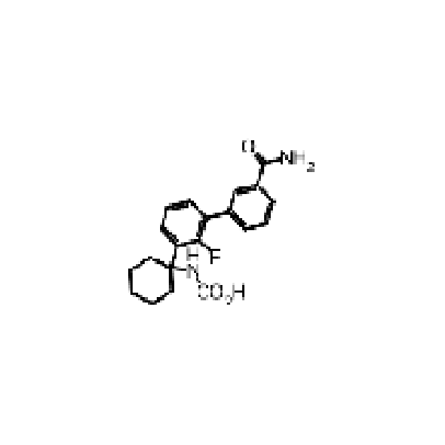 NC(=O)c1cccc(-c2cccc(C3(NC(=O)O)CCCCC3)c2F)c1